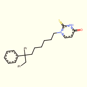 CC(C)CC(CCCCCCn1ccc(=O)[nH]c1=S)(c1ccccc1)C(C)C